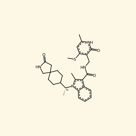 CSc1cc(C)[nH]c(=O)c1CNC(=O)c1c(C)n([C@H](C)C2CCC3(CC2)CNC(=O)C3)c2ccccc12